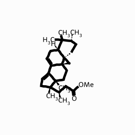 COC(=O)C[C@@H](C)[C@]1(C)CC=C2C3=CC[C@H]4C(C)(C)[C@H](C)CC[C@@]45C[C@@]35CC[C@@]21C